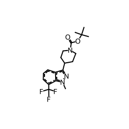 Cn1nc(C2CCN(C(=O)OC(C)(C)C)CC2)c2cccc(C(F)(F)F)c21